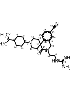 CC(C)C1CCC(N2CCC3(CC2)C(=O)N(CCNC(=N)N)Cc2cc(C#N)ccc23)CC1